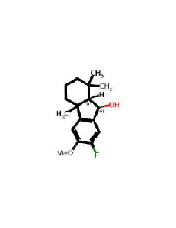 COc1cc2c(cc1F)[C@H](O)[C@H]1C(C)(C)CCCC21C